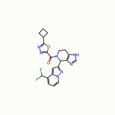 O=C(c1nnc(C2CCC2)o1)N1CCc2[nH]cnc2C1c1cc2c(C(F)F)cccn2n1